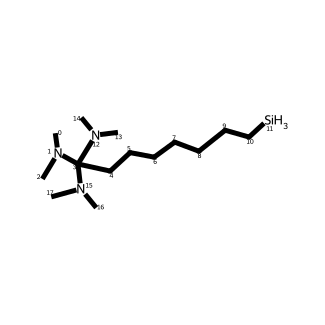 CN(C)C(CCCCCCC[SiH3])(N(C)C)N(C)C